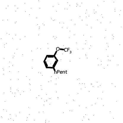 CCCCCc1cccc(OC(F)(F)F)c1